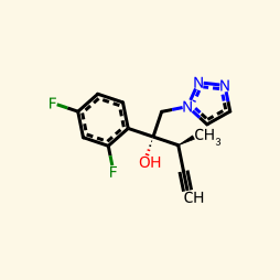 C#C[C@H](C)[C@](O)(Cn1ccnn1)c1ccc(F)cc1F